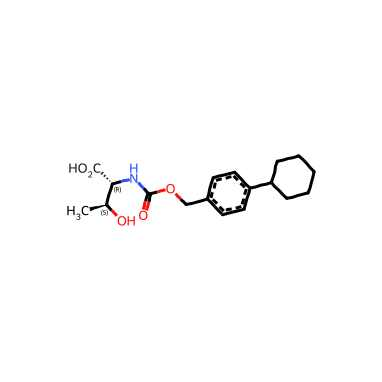 C[C@H](O)[C@@H](NC(=O)OCc1ccc(C2CCCCC2)cc1)C(=O)O